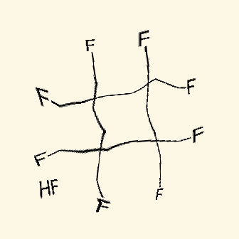 F.FC1(F)C(F)(F)C(F)(F)C1(F)F